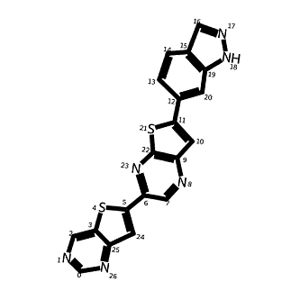 c1ncc2sc(-c3cnc4cc(-c5ccc6cn[nH]c6c5)sc4n3)cc2n1